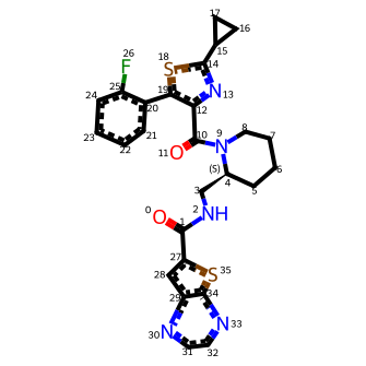 O=C(NC[C@@H]1CCCCN1C(=O)c1nc(C2CC2)sc1-c1ccccc1F)c1cc2nccnc2s1